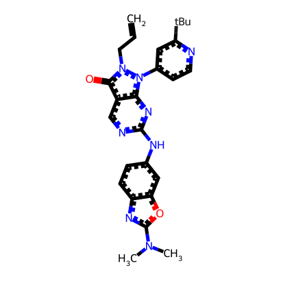 C=CCn1c(=O)c2cnc(Nc3ccc4nc(N(C)C)oc4c3)nc2n1-c1ccnc(C(C)(C)C)c1